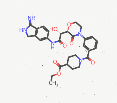 CCOC(=O)C1CCN(C(=O)c2cccc(N3CCO[C@H]([C@@H](O)C(=O)Nc4ccc5c(c4)CNC5=N)C3=O)c2)CC1